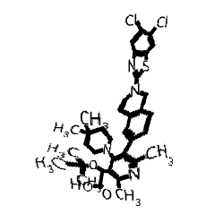 Cc1nc(C)c(C(OC(C)(C)C)C(=O)O)c(N2CCC(C)(C)CC2)c1-c1ccc2c(c1)CCN(c1nc3cc(Cl)c(Cl)cc3s1)C2